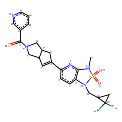 CN1c2nc(C3=CC4CN(C(=O)c5cccnc5)CC4C3)ccc2N(CC2CC2(F)F)S1(=O)=O